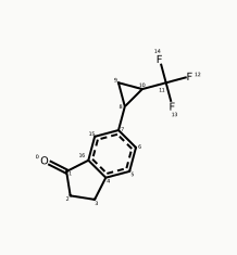 O=C1CCc2ccc(C3CC3C(F)(F)F)cc21